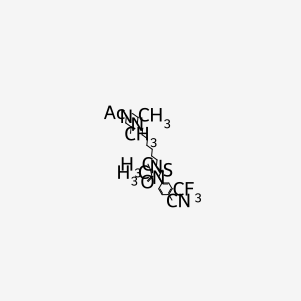 CC(=O)N1C[C@@H](C)N(CCCCCCCN2C(=S)N(c3ccc(C#N)c(C(F)(F)F)c3)C(=O)C2(C)C)[C@@H](C)C1